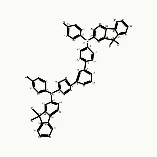 Cc1ccc(N(c2ccc(-c3cccc(-c4ccc(N(c5ccc(C)cc5)c5ccc6c(c5)C(C)(C)c5ccccc5-6)cc4)c3)cc2)c2ccc3c(c2)C(C)(C)c2ccccc2-3)cc1